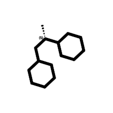 C[C@@H](CC1CCCCC1)C1CCCCC1